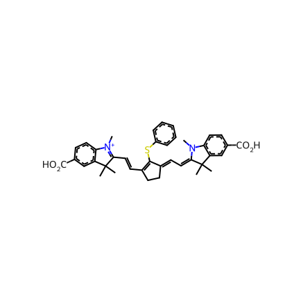 CN1C(=CC=C2CCC(C=CC3=[N+](C)c4ccc(C(=O)O)cc4C3(C)C)=C2Sc2ccccc2)C(C)(C)c2cc(C(=O)O)ccc21